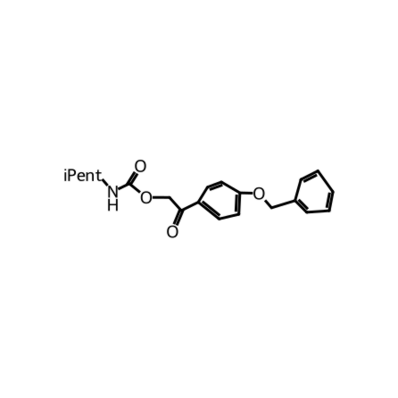 CCCC(C)NC(=O)OCC(=O)c1ccc(OCc2ccccc2)cc1